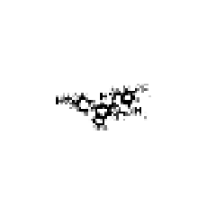 Cc1nc(N[C@H](C)c2cc(N)cc(C(F)(F)F)c2)c2cc(N3CCC(O)(CO)CC3)c3c(c2n1)CCC3